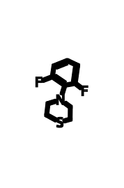 Fc1cccc(F)c1N1CCSCC1